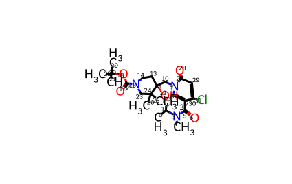 CC(C)N(C)C(=O)c1cn(C[C@@]2(O)CCN(C(=O)OC(C)(C)C)CC2(C)C)c(=O)cc1Cl